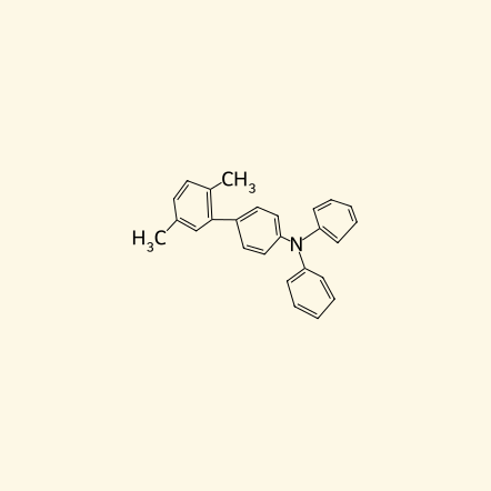 Cc1ccc(C)c(-c2ccc(N(c3ccccc3)c3ccccc3)cc2)c1